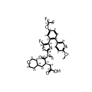 COc1ccc(-c2ccc(OC(F)F)cc2-c2nc(N(C)C(=O)[C@@H](CC(=O)O)CC3CCOCC3)sc2F)cn1